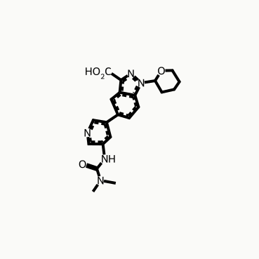 CN(C)C(=O)Nc1cncc(-c2ccc3c(c2)c(C(=O)O)nn3C2CCCCO2)c1